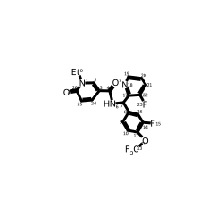 CCn1cc(C(=O)NC(c2ccc(OC(F)(F)F)c(F)c2)c2ncccc2F)ccc1=O